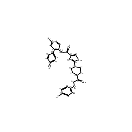 O=C(Nc1ccc(F)cc1-c1ccc(Cl)cc1)c1csc(C2CCN(C(=O)COc3ccc(F)cc3)CC2)n1